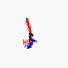 CCCOCCOCCOCCOCCOc1ccc(-c2ccc([C@H](CC(=O)O)NC(=O)[C@H](CC(C)C)NC(=O)CCCNc3cc(C)ccn3)cc2)c2ccccc12